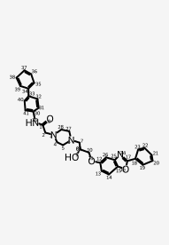 O=C(CN1CCN(C[C@H](O)COc2ccc3oc(-c4ccccc4)nc3c2)CC1)Nc1ccc(-c2ccccc2)cc1